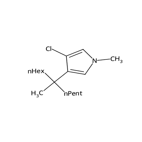 CCCCCCC(C)(CCCCC)c1cn(C)cc1Cl